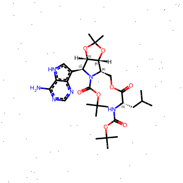 CC(C)C[C@H](NC(=O)OC(C)(C)C)C(=O)OC[C@@H]1[C@H]2OC(C)(C)O[C@H]2[C@H](c2c[nH]c3c(N)ncnc23)N1C(=O)OC(C)(C)C